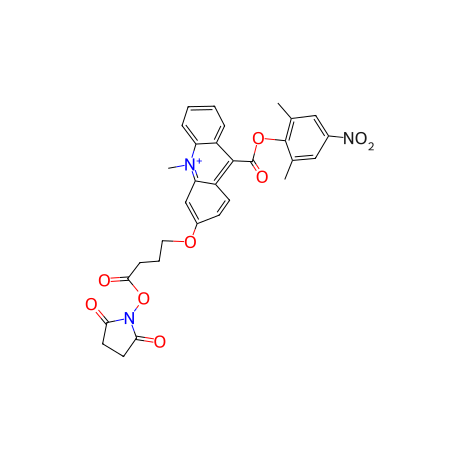 Cc1cc([N+](=O)[O-])cc(C)c1OC(=O)c1c2ccccc2[n+](C)c2cc(OCCCC(=O)ON3C(=O)CCC3=O)ccc12